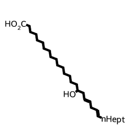 CCCCCCCC=CCC=CCC(O)CCCCCCCCCCCCCCCC(=O)O